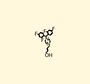 OCC=CCN1CCN(C(c2ccc(F)cc2F)c2ccc(F)cc2F)CC1